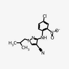 CC(C)Cn1cc(C#N)c(Nc2ccc(Cl)cc2[N+](=O)[O-])n1